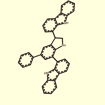 c1ccc(-c2cc(-c3cccc4c3[nH]c3ccccc34)c3c(c2)C(c2cccc4c2[nH]c2ccccc24)CP3)cc1